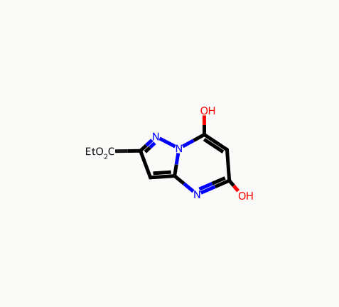 CCOC(=O)c1cc2nc(O)cc(O)n2n1